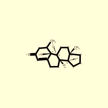 CC1CC(=O)C=C2CC[C@@H]3[C@H](CC[C@]4(C)CCC[C@@H]34)[C@H]21